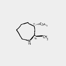 C[C@H]1CCCCN[C@@H]1C